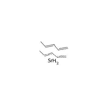 C=CC=CC.C=CC=CC.[SrH2]